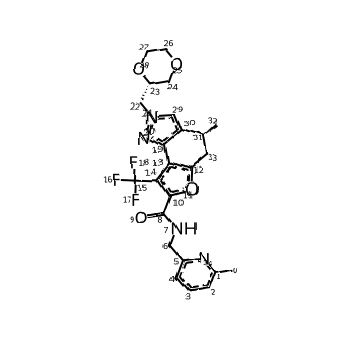 Cc1cccc(CNC(=O)c2oc3c(c2C(F)(F)F)-c2nn(C[C@H]4COCCO4)cc2[C@@H](C)C3)n1